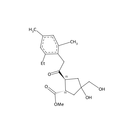 CCc1cc(C)cc(C)c1CC(=O)[C@H]1CC(O)(CO)C[C@@H]1C(=O)OC